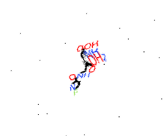 N[C@@H](C[C@H](CCCNC(=O)c1ccc(F)nc1)C(=O)O)C(=O)O